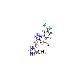 Cc1cncnc1OCc1nnn(-c2cccc(C(F)F)c2)c1C